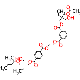 CCCC(C)OCC(CC)(CO)COC(=O)c1ccc(C(=O)OCCOC(=O)c2cccc(C(=O)OCC(CC)(CO)COC(C)=O)c2)cc1